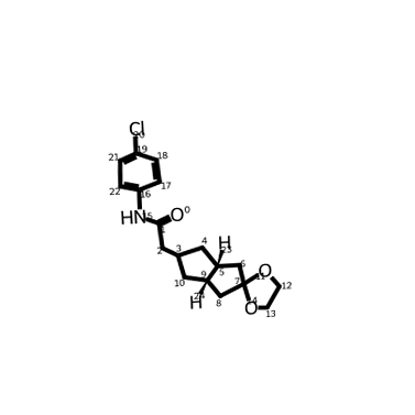 O=C(CC1C[C@@H]2CC3(C[C@@H]2C1)OCCO3)Nc1ccc(Cl)cc1